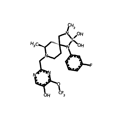 C[C@H]1C[C@]2(CCN1Cc1ncc(O)c(OC(F)(F)F)n1)CN(C)S(O)(O)N2c1cccc(F)c1